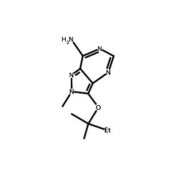 CCC(C)(C)Oc1c2ncnc(N)c2nn1C